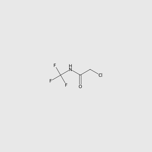 O=C(CCl)NC(F)(F)F